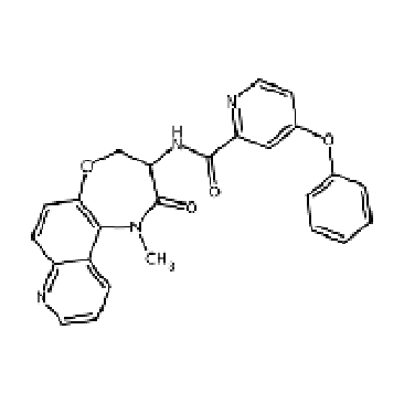 CN1C(=O)C(NC(=O)c2cc(Oc3ccccc3)ccn2)COc2ccc3ncccc3c21